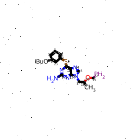 CC(C)COc1cccc(Sc2nc(N)nc3c2ncn3CC(C)OCP)c1